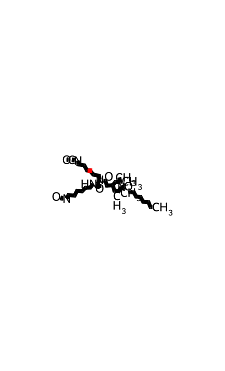 CCCCCCCCON1C(C)(C)CC(CC(=O)N(CCCCCCN=C=O)C(=O)NCCCCCCN=C=O)CC1(C)C